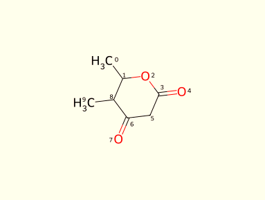 CC1OC(=O)CC(=O)C1C